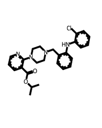 CC(C)OC(=O)c1cccnc1N1CCN(Cc2ccccc2Nc2ccccc2Cl)CC1